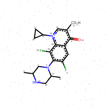 CC1CN(c2c(F)cc3c(=O)c(C(=O)O)cn(C4CC4)c3c2F)C(C)CN1